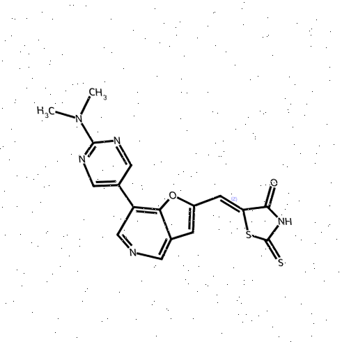 CN(C)c1ncc(-c2cncc3cc(/C=C4\SC(=S)NC4=O)oc23)cn1